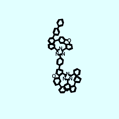 c1ccc(-c2ccc(-c3ccccc3-c3ccc4oc5cccc(-c6nc(-c7ccccc7)nc(-c7ccc(-c8cc(-c9nc(-c%10ccccc%10)nc(-c%10ccccc%10)n9)c9c(c8)oc8ccc(-c%10cccc(-c%11cccc(-c%12ccccc%12)c%11)c%10)cc89)cc7)n6)c5c4c3)cc2)cc1